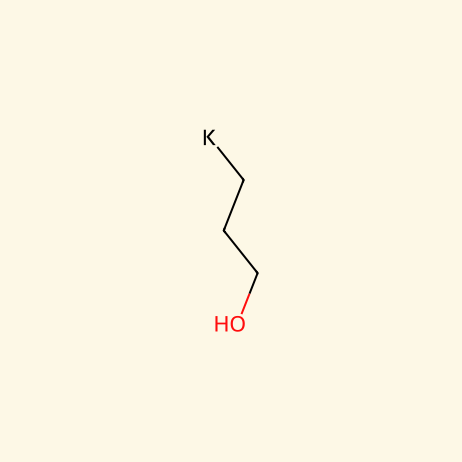 OCC[CH2][K]